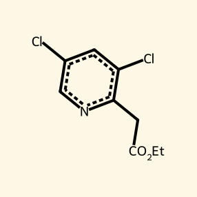 CCOC(=O)Cc1ncc(Cl)cc1Cl